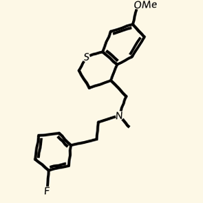 COc1ccc2c(c1)SCCC2CN(C)CCc1cccc(F)c1